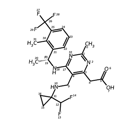 Cc1nc(CC(=O)O)c(CNC2(C(F)F)CC2)c(N[C@H](C)c2cccc(C(F)(F)F)c2C)n1